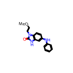 COCCn1c(=O)[nH]c2cc(Nc3ccccc3)ccc21